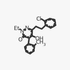 CCn1nc(CCc2ccccc2Cl)c(O)c(-c2ccccc2C)c1=O